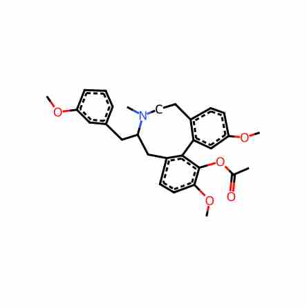 COc1cccc(CC2Cc3ccc(OC)c(OC(C)=O)c3-c3cc(OC)ccc3CCN2C)c1